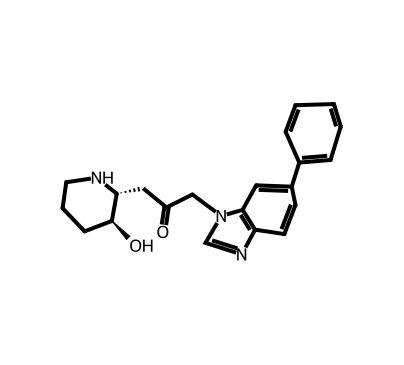 O=C(C[C@H]1NCCC[C@@H]1O)Cn1cnc2ccc(-c3ccccc3)cc21